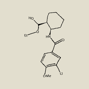 CCOC(O)[C@H]1CCCC[C@H]1NC(=O)c1ccc(OC)c(Cl)c1